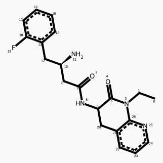 CCN1C(=O)C(NC(=O)C[C@H](N)Cc2ccccc2F)Cc2cccnc21